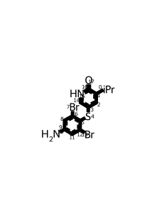 CC(C)c1cc(Sc2c(Br)cc(N)cc2Br)c[nH]c1=O